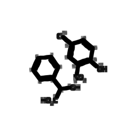 O=C(O)C(O)c1ccccc1.O=[N+]([O-])c1cc(Cl)ccc1O